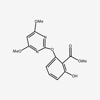 COC(=O)c1c(O)cccc1Oc1nc(OC)cc(OC)n1